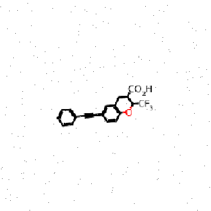 O=C(O)C1Cc2cc(C#Cc3ccccc3)ccc2OC1C(F)(F)F